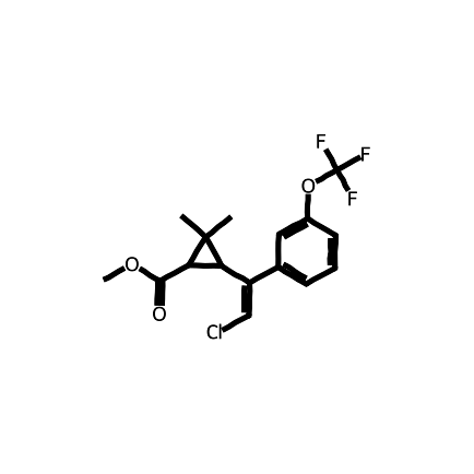 COC(=O)C1C(C(=CCl)c2cccc(OC(F)(F)F)c2)C1(C)C